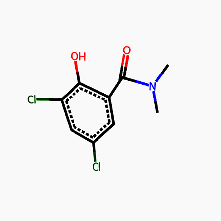 CN(C)C(=O)c1cc(Cl)cc(Cl)c1O